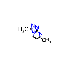 Cc1ccn2c(C)nnc2n1